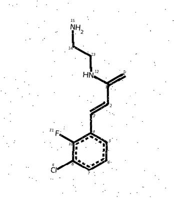 C=C(/C=C/c1cccc(Cl)c1F)NCCN